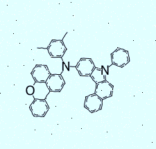 Cc1cc(C)cc(N(c2ccc3c(c2)c2c4ccccc4ccc2n3-c2ccccc2)c2ccc3c4c(cccc24)Oc2ccccc2-3)c1